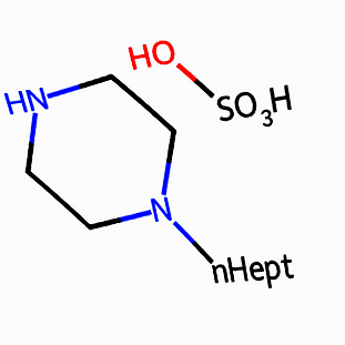 CCCCCCCN1CCNCC1.O=S(=O)(O)O